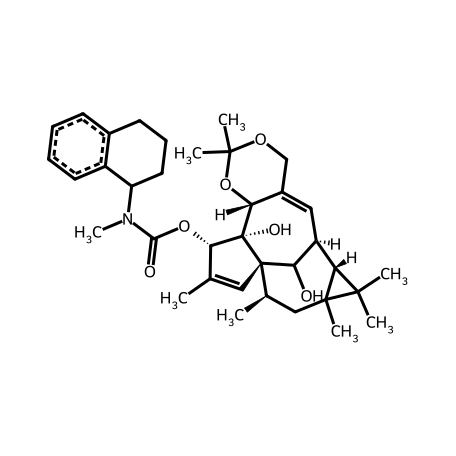 CC1=C[C@]23C(O)[C@@H](C=C4COC(C)(C)O[C@H]4[C@]2(O)[C@H]1OC(=O)N(C)C1CCCc2ccccc21)[C@@H]1C(C)(C)C1(C)C[C@H]3C